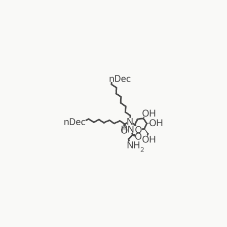 CCCCCCCCCCCCCCCCCCN(C(=O)CCCCCCCCCCCCCCCCC)[C@@]1(NC(=O)CN)C[C@@H](O)[C@H](O)[C@@H](CO)O1